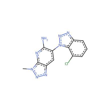 Cn1nnc2cc(-n3nnc4cccc(Cl)c43)c(N)nc21